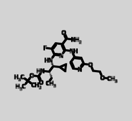 CC[C@H](NC(=O)OC(C)(C)C)[C@H](Nc1nc(Nc2ccnc(OCCOC)c2)c(C(N)=O)cc1F)C1CC1